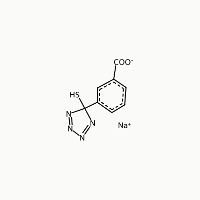 O=C([O-])c1cccc(C2(S)N=NN=N2)c1.[Na+]